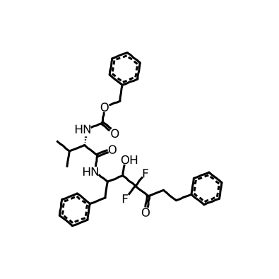 CC(C)[C@H](NC(=O)OCc1ccccc1)C(=O)NC(Cc1ccccc1)C(O)C(F)(F)C(=O)CCc1ccccc1